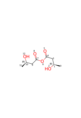 C[C@@H](O)CC(=O)OC(=O)C[C@@H](C)O